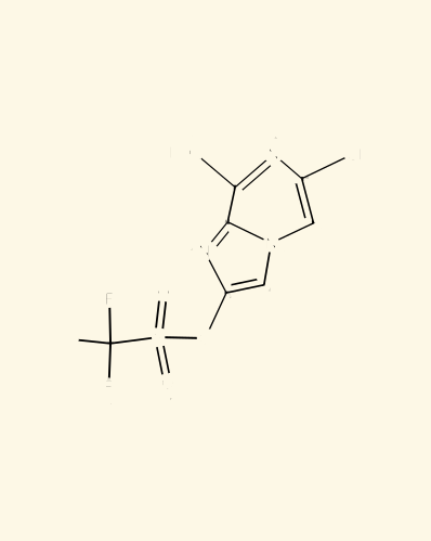 Cc1cn2cc(OS(=O)(=O)C(F)(F)F)nc2c(C)n1